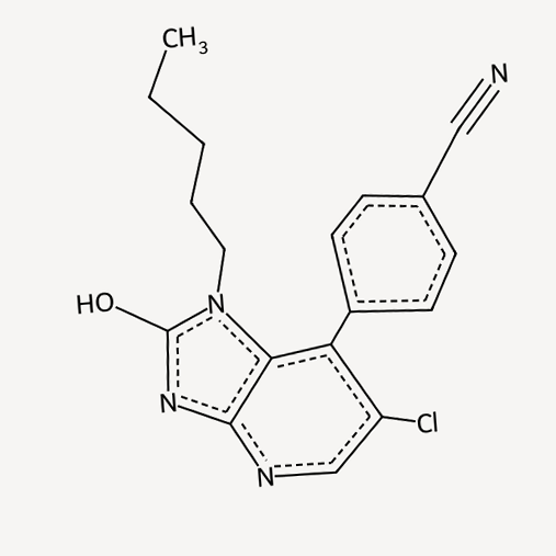 CCCCCn1c(O)nc2ncc(Cl)c(-c3ccc(C#N)cc3)c21